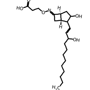 CCCCCCCCCC(O)C=CC1C(O)C[C@@H]2C(=NOCCC(=O)O)C[C@@H]12